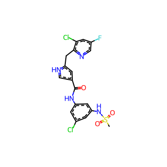 CS(=O)(=O)Nc1cc(Cl)cc(NC(=O)c2c[nH]c(Cc3ncc(F)cc3Cl)c2)c1